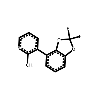 Cc1ncccc1-c1cccc2c1OC(F)(F)O2